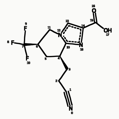 N#CCC[C@H]1C[C@@H](C(F)(F)F)Cn2cc(C(=O)O)nc21